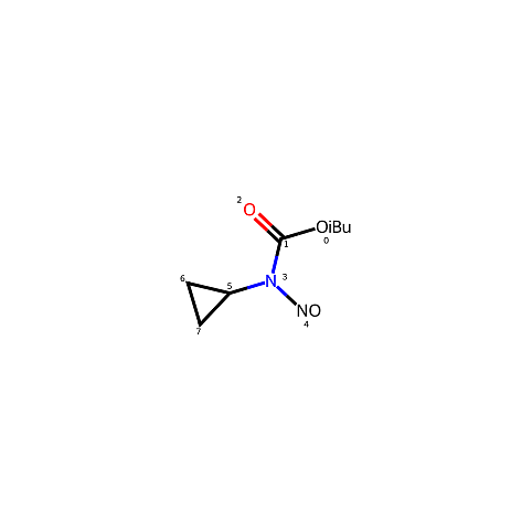 CC(C)COC(=O)N(N=O)C1CC1